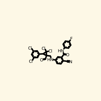 N#Cc1ccc(NCC2(C=O)C(c3cc(Cl)cc(Cl)c3)C2(Cl)Cl)cc1C(=O)Nc1ccc(F)cc1